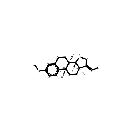 CC=C1CO[C@H]2[C@@H]3CCc4cc(OC)ccc4[C@H]3CC[C@]12C